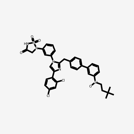 CC(C)(C)CC[S+]([O-])c1cccc(-c2ccc(Cc3nc(-c4ccc(Cl)cc4Cl)cn3-c3cccc(N4CC(=O)NS4(=O)=O)c3)cc2)c1